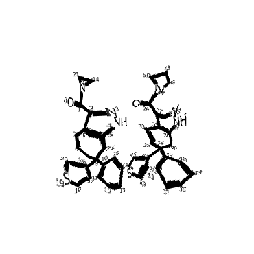 O=C(c1n[nH]c2c1C=CC(c1ccccc1)(c1ccsc1)C2)N1CC1.O=C(c1n[nH]c2c1C=CC(c1ccccc1)(c1ccsc1)C2)N1CCC1